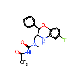 CN(CC1Nc2cc(F)ccc2OC1c1ccccc1)C(=O)NC(=O)C(F)(F)F